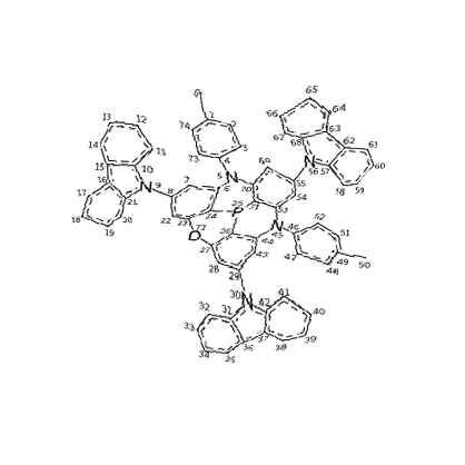 Cc1ccc(N2c3cc(-n4c5ccccc5c5ccccc54)cc4c3P3c5c(cc(-n6c7ccccc7c7ccccc76)cc5N(c5ccc(C)cc5)c5cc(-n6c7ccccc7c7ccccc76)cc2c53)O4)cc1